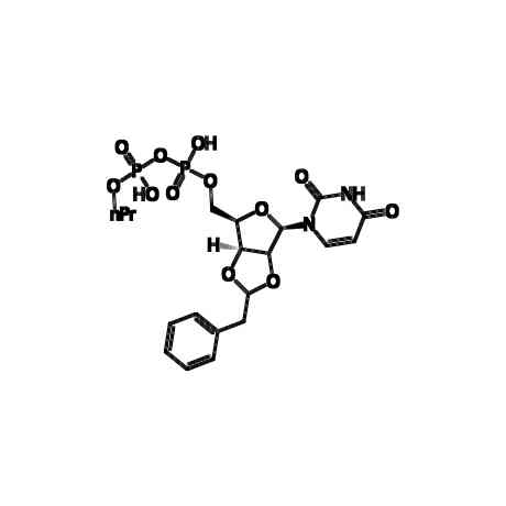 CCCOP(=O)(O)OP(=O)(O)OC[C@H]1O[C@@H](n2ccc(=O)[nH]c2=O)C2OC(Cc3ccccc3)O[C@H]21